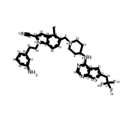 Cc1c(CN2CCC(Nc3ncnc4sc(CC(F)(F)F)cc34)CC2)ccc2c1cc(C#N)n2CCc1cccc(N)c1